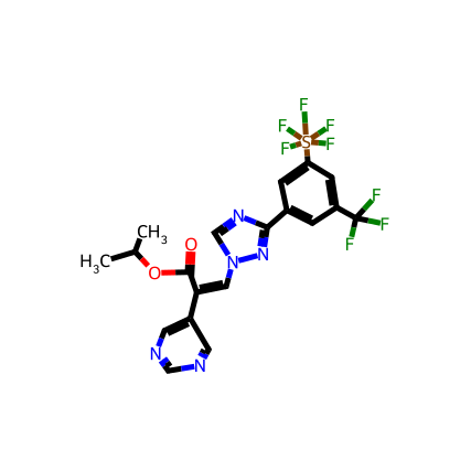 CC(C)OC(=O)/C(=C\n1cnc(-c2cc(C(F)(F)F)cc(S(F)(F)(F)(F)F)c2)n1)c1cncnc1